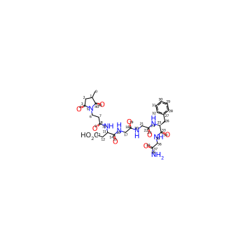 CC1CC(=O)N(CCC(=O)NC(CC(=O)O)C(=O)NCC(=O)NCC(=O)N[C@@H](Cc2ccccc2)C(=O)NCC(N)=O)C1=O